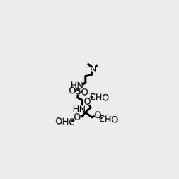 CN(C)CCCNS(=O)(=O)CCNC(COC=O)(COC=O)COC=O